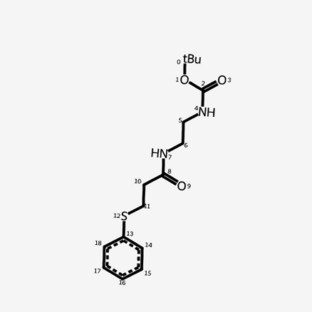 CC(C)(C)OC(=O)NCCNC(=O)CCSc1ccccc1